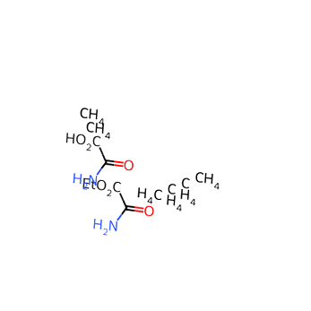 C.C.C.C.C.C.CCOC(=O)C(N)=O.NC(=O)C(=O)O